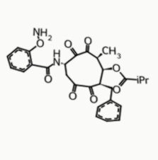 CC(C)C(=O)O[C@@H]1[C@H](C)C(=O)C(=O)[C@@H](NC(=O)c2ccccc2ON)CC(=O)C(=O)[C@@H]1Cc1ccccc1